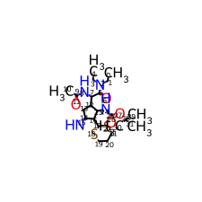 CCN(CC)C(=O)C(NC(C)=O)C1CC(=N)C(C2SCCCS2)C1NC(=O)OC(C)(C)C